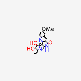 C=CC1[C@@H](O)[C@@H](O)C23CC24c2nc5ccc(OC)cc5cc2C(=O)NC4CN13